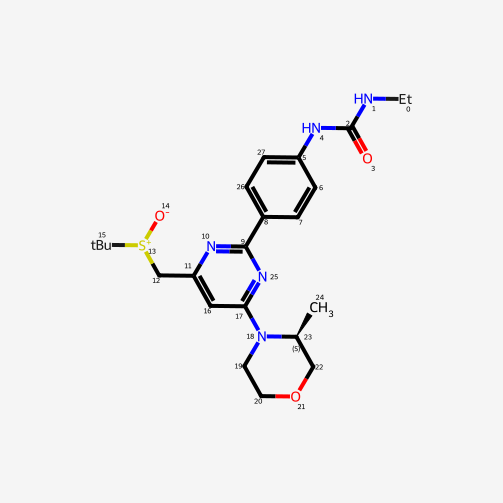 CCNC(=O)Nc1ccc(-c2nc(C[S+]([O-])C(C)(C)C)cc(N3CCOC[C@@H]3C)n2)cc1